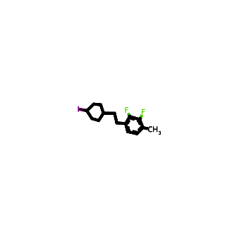 Cc1ccc(CCC2CCC(I)CC2)c(F)c1F